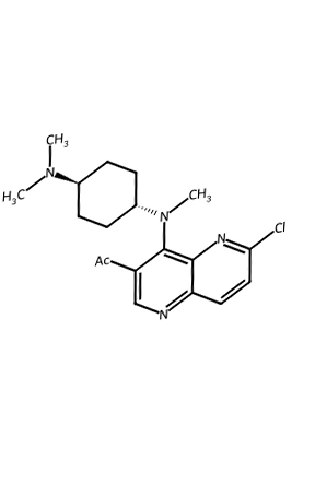 CC(=O)c1cnc2ccc(Cl)nc2c1N(C)[C@H]1CC[C@H](N(C)C)CC1